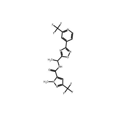 CC(NC(=O)c1cc(C(F)(F)F)nn1C)c1nc(-c2ccnc(C(F)(F)F)c2)no1